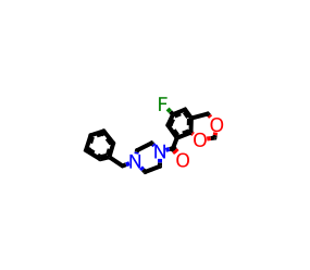 O=C(c1cc(F)cc2c1OCOC2)N1CCN(Cc2ccccc2)CC1